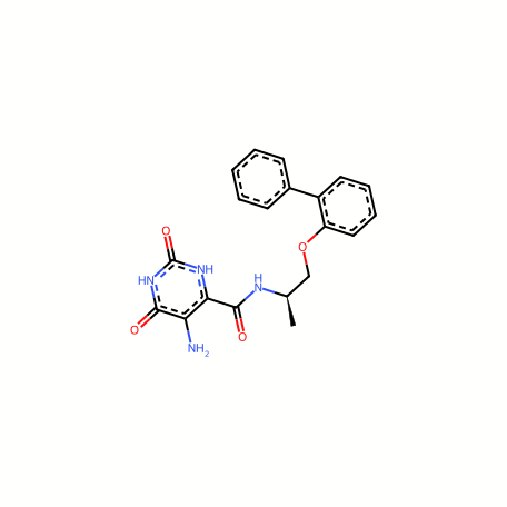 C[C@H](COc1ccccc1-c1ccccc1)NC(=O)c1[nH]c(=O)[nH]c(=O)c1N